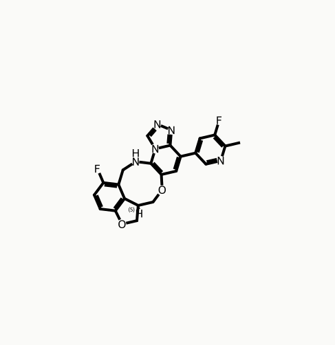 Cc1ncc(-c2cc3c(n4cnnc24)NCc2c(F)ccc4c2[C@@H](CO4)CO3)cc1F